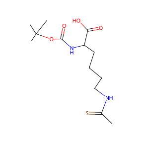 CC(=S)NCCCCC(NC(=O)OC(C)(C)C)C(=O)O